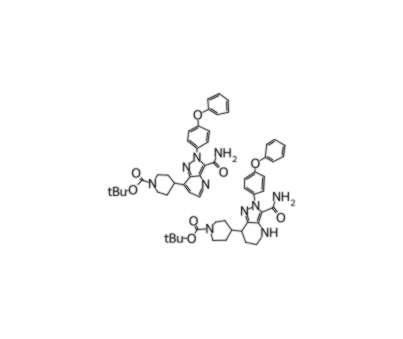 CC(C)(C)OC(=O)N1CCC(C2CCNc3c2nn(-c2ccc(Oc4ccccc4)cc2)c3C(N)=O)CC1.CC(C)(C)OC(=O)N1CCC(c2ccnc3c(C(N)=O)n(-c4ccc(Oc5ccccc5)cc4)nc23)CC1